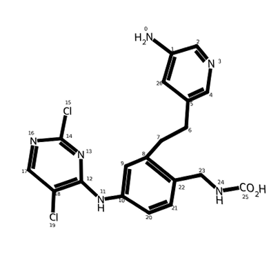 Nc1cncc(CCc2cc(Nc3nc(Cl)ncc3Cl)ccc2CNC(=O)O)c1